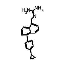 NC(N)=NCc1cccc2c(-c3ccc(C4CC4)cc3)cccc12